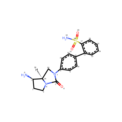 N[C@@H]1CCN2C(=O)N(c3ccc(-c4ccccc4S(N)(=O)=O)cc3)C[C@H]12